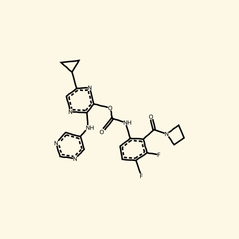 O=C(Nc1ccc(F)c(F)c1C(=O)N1CCC1)Oc1nc(C2CC2)cnc1Nc1cncnc1